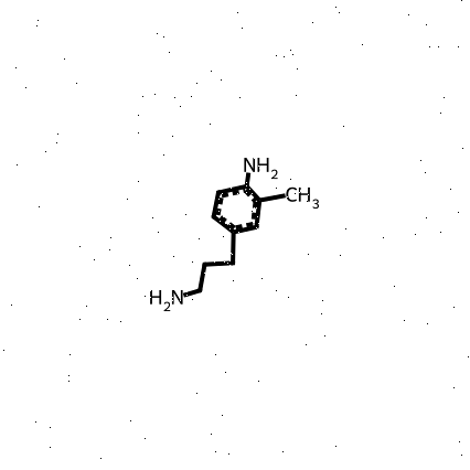 Cc1cc(CCCN)ccc1N